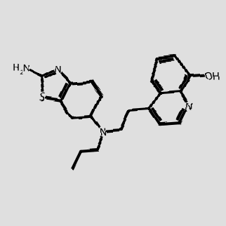 CCCN(CCc1ccnc2c(O)cccc12)C1CCc2nc(N)sc2C1